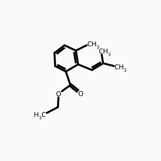 CCOC(=O)c1cccc(C)c1C=C(C)C